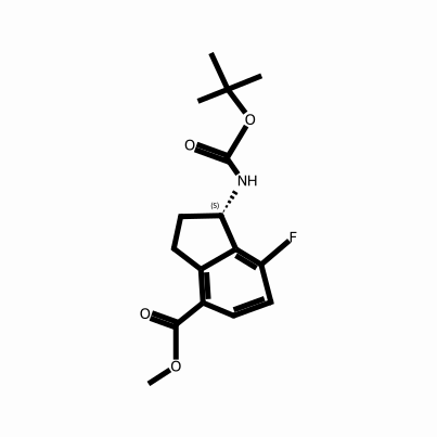 COC(=O)c1ccc(F)c2c1CC[C@@H]2NC(=O)OC(C)(C)C